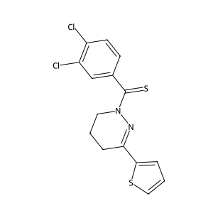 S=C(c1ccc(Cl)c(Cl)c1)N1CCCC(c2cccs2)=N1